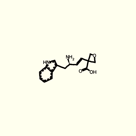 N[C@@H](C=CC1(C(=O)O)COC1)Cc1c[nH]c2ccccc12